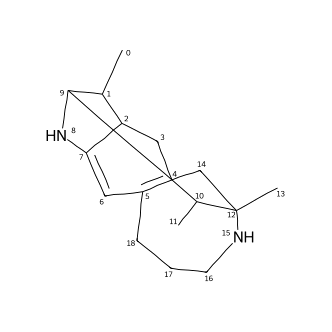 CC1C2CC3=C4C=C2NC1C(C)C(C)(C3)NCCC4